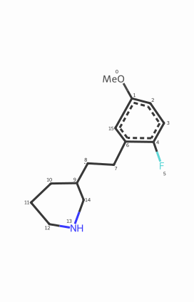 COc1ccc(F)c(C[CH]C2CCCNC2)c1